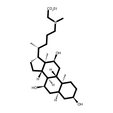 CCOC(=O)CN(C)CCC[C@@H](C)[C@H]1CC[C@H]2[C@@H]3[C@H](O)C[C@@H]4C[C@H](O)CC[C@]4(C)[C@H]3C[C@H](O)[C@]12C